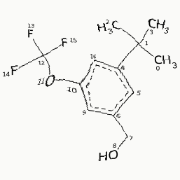 CC(C)(C)c1cc(CO)cc(OC(F)(F)F)c1